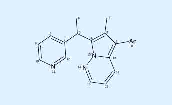 CC(=O)c1c(C)c(C(C)c2cccnc2)n2ncccc12